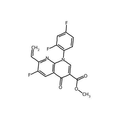 C=Cc1nc2c(cc1F)c(=O)c(C(=O)OC)cn2-c1ccc(F)cc1F